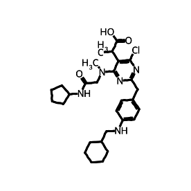 CC(C(=O)O)c1c(Cl)nc(Cc2ccc(NCC3CCCCC3)cc2)nc1N(C)CC(=O)NC1CCCC1